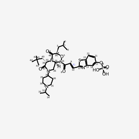 CC(C)C[C@H]1ON(C(=O)/C=C/c2nc3cc(OP(=O)(O)O)ccc3s2)[C@H]2CN(C3CCN(C(C)C)CC3)C(=O)[C@H](CC(C)(C)C)N2C1=O